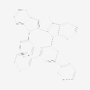 c1ccc(-c2nc(-c3ccccc3)nc(-n3c4ccccc4c4sc5c6ccccc6n(-c6ccccc6)c5c43)n2)cc1